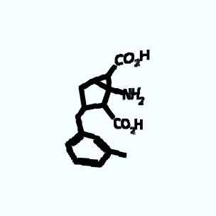 Cc1cccc(CC2CC3C(C(=O)O)C3(N)C2C(=O)O)c1